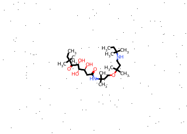 CCC(C)(C)NCCC(C)(C)OCCC(C)(C)NC(=O)C[C@H](O)[C@H](O)[C@@H](O)C(=O)C(C)(C)CC